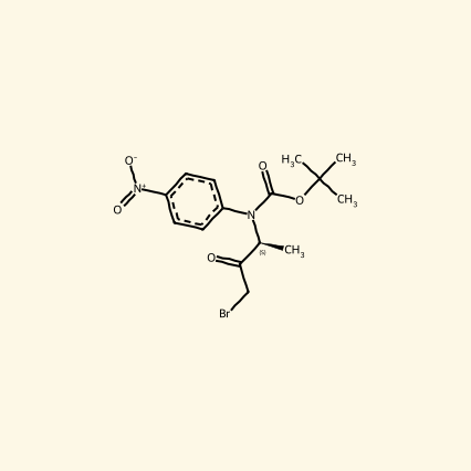 C[C@@H](C(=O)CBr)N(C(=O)OC(C)(C)C)c1ccc([N+](=O)[O-])cc1